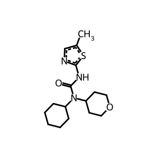 Cc1cnc(NC(=O)N(C2CCCCC2)C2CCOCC2)s1